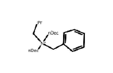 CCCCCCCCCC[N+](CCCCCCCCCC)(Cc1ccccc1)CC(C)C